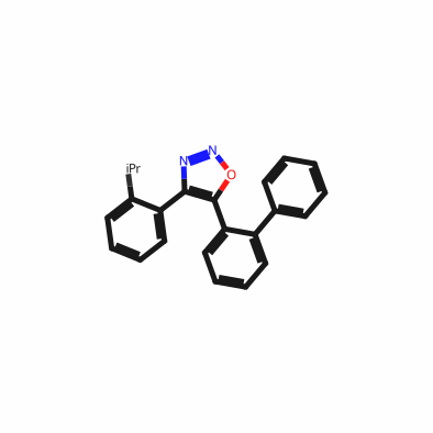 CC(C)c1ccccc1-c1nnoc1-c1ccccc1-c1ccccc1